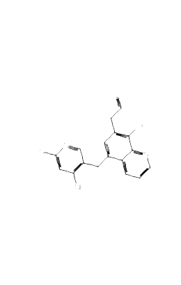 C=CCc1cc(Cc2cnc(N)cc2N)c2cccnc2c1O